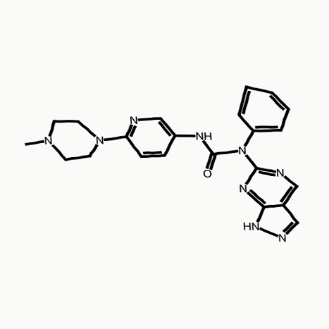 CN1CCN(c2ccc(NC(=O)N(c3ccccc3)c3ncc4cn[nH]c4n3)cn2)CC1